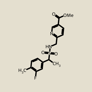 COC(=O)c1ccc(CNS(=O)(=O)C(C)c2ccc(C)c(F)c2)nc1